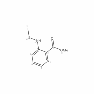 COC(=O)c1ncccc1NSI